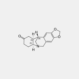 O=C1CC[C@H]2[C@@H](C1)[C@H]1CN2Cc2cc3c(cc21)OCO3